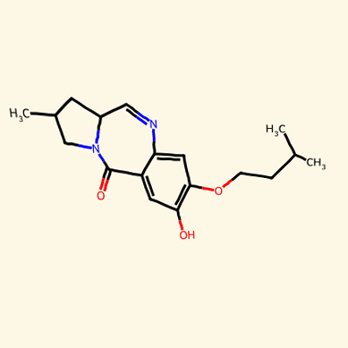 CC(C)CCOc1cc2c(cc1O)C(=O)N1CC(C)CC1C=N2